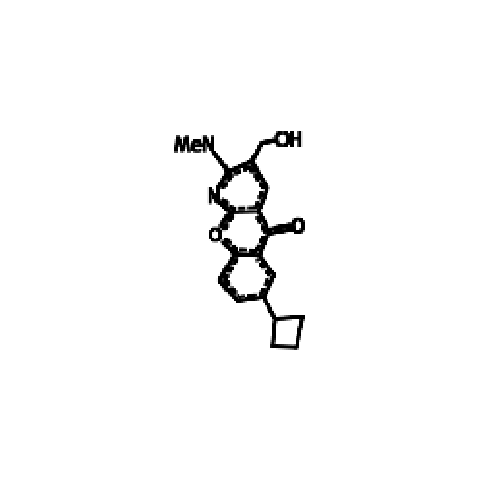 CNc1nc2oc3ccc(C4CCC4)cc3c(=O)c2cc1CO